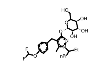 CCCC(CC)n1nc(O[C@@H]2OC(CO)[C@@H](O)[C@H](O)[C@H]2O)c(Cc2ccc(OC(F)F)cc2)c1C